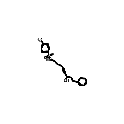 Cc1ccc(S(=O)(=O)NCCCC#CC(O)CCc2ccccc2)cc1